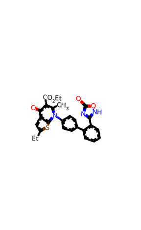 CCOC(=O)c1c(C)n(-c2ccc(-c3ccccc3-c3nc(=O)o[nH]3)cc2)c2sc(CC)cc2c1=O